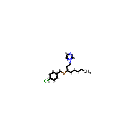 CCCCCC(CCn1ccnc1)SCc1ccc(Cl)cc1